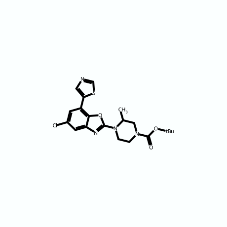 CC1CN(C(=O)OC(C)(C)C)CCN1c1nc2cc(Cl)cc(-c3cncs3)c2o1